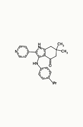 CC(C)c1ccc(Nc2c(-c3ccncc3)[nH]c3c2C(=O)CC(C)(C)C3)cc1